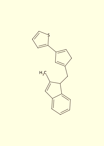 CC1=Cc2ccccc2C1CC1=CC(c2cccs2)=CC1